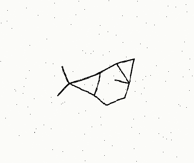 CC12CCC3C(C1C2)C3(C)C